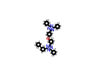 c1ccc(-c2cccc(-c3nc(-c4ccccc4)nc(-c4cccc(Oc5ccc(-c6nc(-c7ccccc7)nc(-c7ccccc7)n6)cc5)c4)n3)c2)cc1